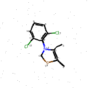 CC1=C(C)N(c2c(Cl)cccc2Cl)[C]S1